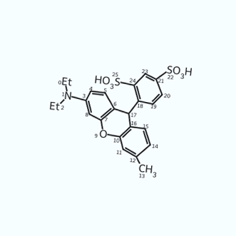 CCN(CC)c1ccc2c(c1)Oc1cc(C)ccc1C2c1ccc(S(=O)(=O)O)cc1S(=O)(=O)O